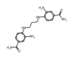 NC(=O)c1ccc(NCCCNc2ccc(C(N)=O)cc2N)c(N)c1